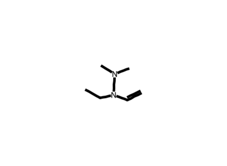 C=CN(CC)N(C)C